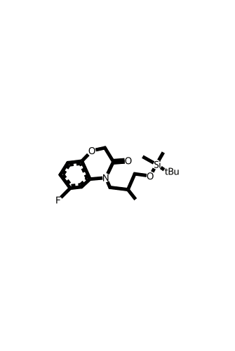 CC(CO[Si](C)(C)C(C)(C)C)CN1C(=O)COc2ccc(F)cc21